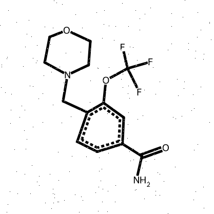 NC(=O)c1ccc(CN2CCOCC2)c(OC(F)(F)F)c1